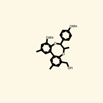 COc1ccc(C2Oc3c(OC)cc(C)cc3-c3cc(C)cc(CO)c3OC2C)cc1